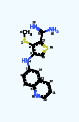 CSc1c(Nc2ccc3ncccc3c2)csc1C(=N)N